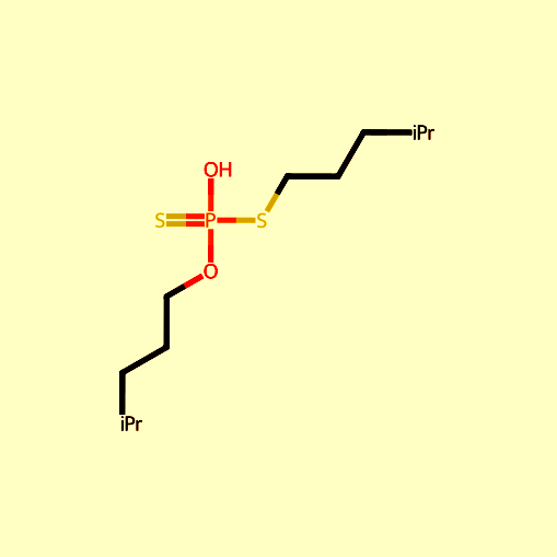 CC(C)CCCOP(O)(=S)SCCCC(C)C